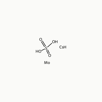 O=S(=O)(O)O.[CsH].[Mo]